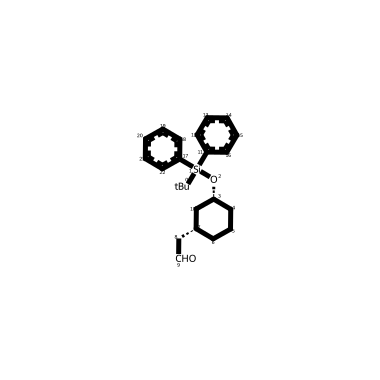 CC(C)(C)[Si](O[C@@H]1CCC[C@H](CC=O)C1)(c1ccccc1)c1ccccc1